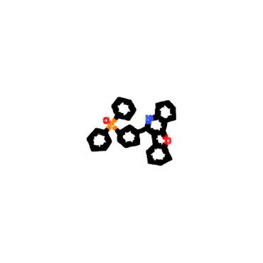 O=P(c1ccccc1)(c1ccccc1)c1cccc(-c2nc3ccccc3c3oc4ccccc4c23)c1